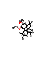 CCCOc1cc2c(cc1OCCC)C1(CC(C)(C)c3cc(C)c(C)cc31)CC2(C)C